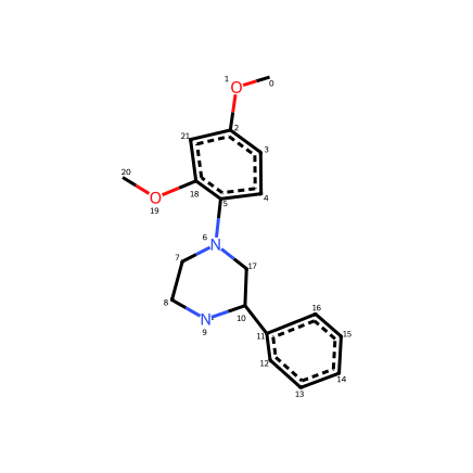 COc1ccc(N2CC[N]C(c3ccccc3)C2)c(OC)c1